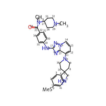 CSc1ccc(C2(CN)CCN(c3cccn4nc(Nc5ccc(C(=O)N(C)C6CCN(C)CC6)cc5)nc34)CC2)cc1